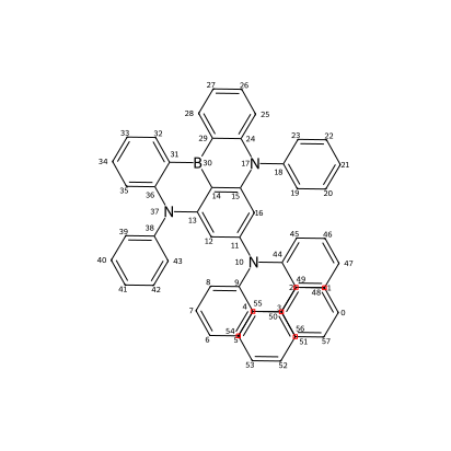 c1ccc(-c2ccccc2N(c2cc3c4c(c2)N(c2ccccc2)c2ccccc2B4c2ccccc2N3c2ccccc2)c2ccccc2-c2ccccc2)cc1